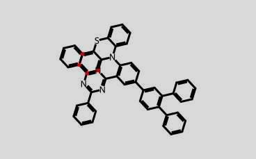 c1ccc(-c2nc(-c3ccccc3)nc(-c3cc(-c4ccc(-c5ccccc5)c(-c5ccccc5)c4)ccc3N3c4ccccc4Sc4ccccc43)n2)cc1